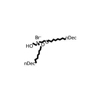 CCCCCCCCCCCCCCCCCCOCC(C[N+](C)(C)CCO)OCCCCCCCCCCCCCCCCCC.[Br-]